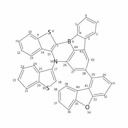 c1ccc2c(c1)B1c3sc4ccccc4c3N(c3csc4ccccc34)c3cc(-c4cccc5oc6ccccc6c45)cc-2c31